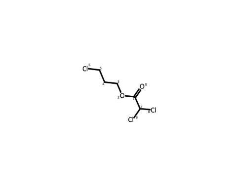 O=C(OCCCCl)C(Cl)Cl